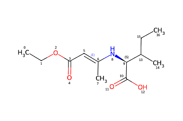 CCOC(=O)/C=C(\C)N[C@H](C(=O)O)C(C)CC